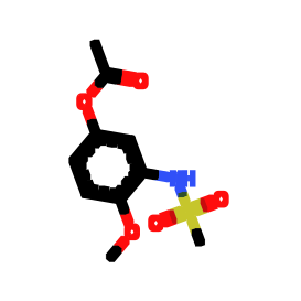 COc1ccc(OC(C)=O)cc1NS(C)(=O)=O